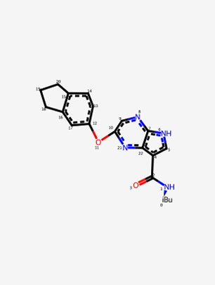 CC[C@H](C)NC(=O)c1c[nH]c2ncc(Oc3ccc4c(c3)CCC4)nc12